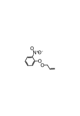 C=CCOOc1ccccc1[N+](=O)[O-]